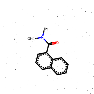 CC(C)N(C=O)C(=O)c1cccc2ccccc12